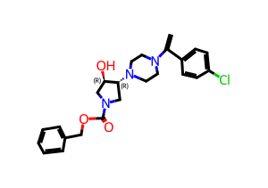 C=C(c1ccc(Cl)cc1)N1CCN([C@@H]2CN(C(=O)OCc3ccccc3)C[C@H]2O)CC1